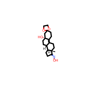 C[C@]12CCC3=C4CCC5(C[C@]4(O)CC[C@H]3[C@@H]1CCC2=NO)OCCO5